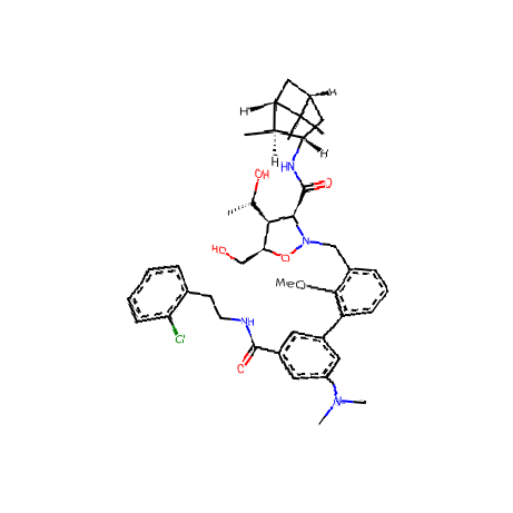 COc1c(CN2O[C@@H](CO)[C@@H]([C@H](C)O)[C@H]2C(=O)N[C@H]2C[C@H]3C[C@@H]([C@@H]2C)C3(C)C)cccc1-c1cc(C(=O)NCCc2ccccc2Cl)cc(N(C)C)c1